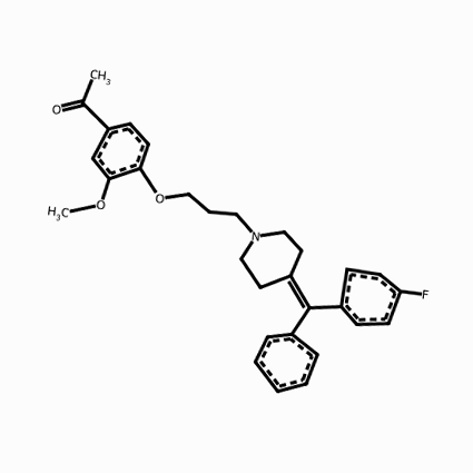 COc1cc(C(C)=O)ccc1OCCCN1CCC(=C(c2ccccc2)c2ccc(F)cc2)CC1